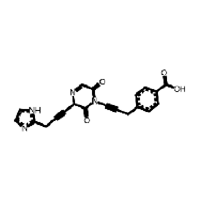 O=C(O)c1ccc(CC#CN2C(=O)C=NC(C#CCc3ncc[nH]3)C2=O)cc1